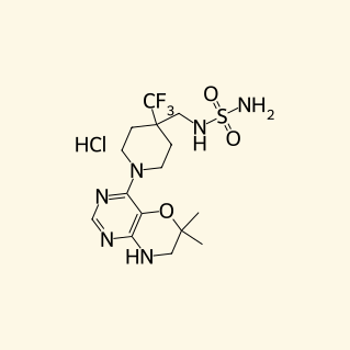 CC1(C)CNc2ncnc(N3CCC(CNS(N)(=O)=O)(C(F)(F)F)CC3)c2O1.Cl